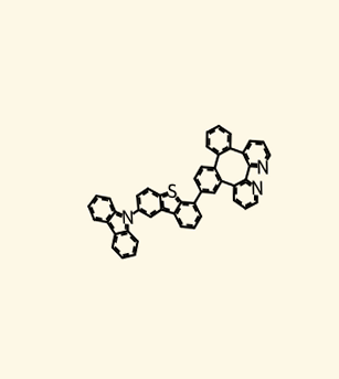 c1ccc2c(c1)-c1ccc(-c3cccc4c3sc3ccc(-n5c6ccccc6c6ccccc65)cc34)cc1-c1cccnc1-c1ncccc1-2